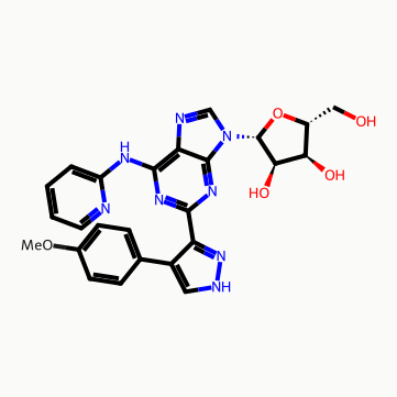 COc1ccc(-c2c[nH]nc2-c2nc(Nc3ccccn3)c3ncn([C@@H]4O[C@H](CO)[C@@H](O)[C@H]4O)c3n2)cc1